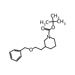 CC(C)(C)OC(=O)N1CCCC(CCOCc2ccccc2)C1